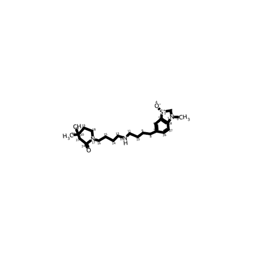 CN1C[S+]([O-])c2cc(CCCCNCCCCN3CCC(C)(C)CC3=O)ccc21